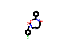 O=C1CC/C=C/CN(Cc2ccc(Cl)cc2)C(=O)OCC(c2ccccc2)N1